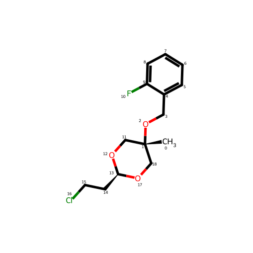 C[C@]1(OCc2ccccc2F)CO[C@H](CCCl)OC1